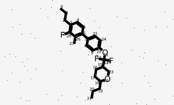 CCCc1ccc(-c2ccc(OC(F)(F)C3CCC(CCC)OC3)cc2)c(C)c1F